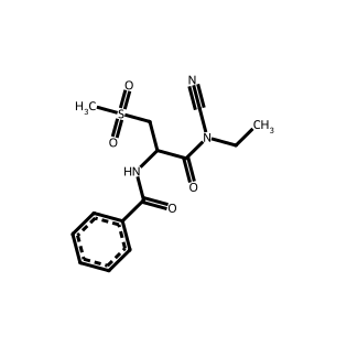 CCN(C#N)C(=O)C(CS(C)(=O)=O)NC(=O)c1ccccc1